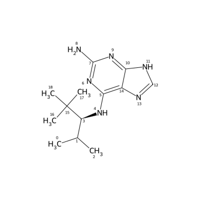 CC(C)[C@H](Nc1nc(N)nc2[nH]cnc12)C(C)(C)C